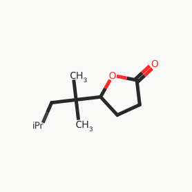 CC(C)CC(C)(C)C1CCC(=O)O1